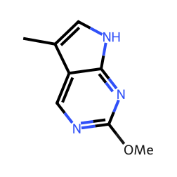 COc1ncc2c(C)c[nH]c2n1